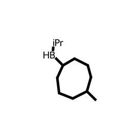 CC(C)BC1CCCC(C)CCC1